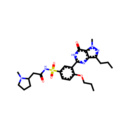 CCCOc1ccc(S(=O)(=O)NC(=O)CC2CCCN2C)cc1-c1nc2c(CCC)nn(C)c2c(=O)[nH]1